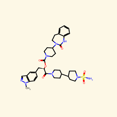 Cn1ncc2cc(C[C@@H](OC(=O)N3CCC(N4CCc5ccccc5NC4=O)CC3)C(=O)N3CCC(C4CCN(S(N)(=O)=O)CC4)CC3)ccc21